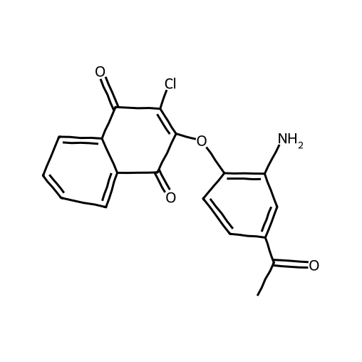 CC(=O)c1ccc(OC2=C(Cl)C(=O)c3ccccc3C2=O)c(N)c1